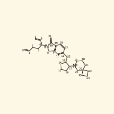 C=CCCC(C=C)N1Cc2cc(CC3CCCC3N3CCCC4(CCC4)C3)ccc2C1=C